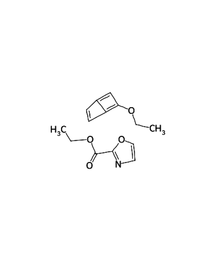 CCOC(=O)c1ncco1.CCOc1cc2ccc1-2